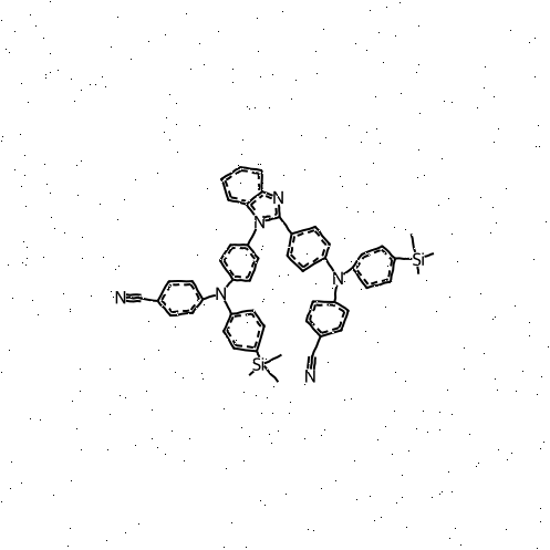 C[Si](C)(C)c1ccc(N(c2ccc(C#N)cc2)c2ccc(-c3nc4ccccc4n3-c3ccc(N(c4ccc(C#N)cc4)c4ccc([Si](C)(C)C)cc4)cc3)cc2)cc1